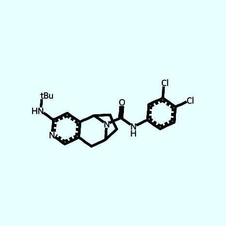 CC(C)(C)Nc1cc2c(cn1)CC1CCC2N1C(=O)Nc1ccc(Cl)c(Cl)c1